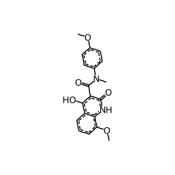 COc1ccc(N(C)C(=O)c2c(O)c3cccc(OC)c3[nH]c2=O)cc1